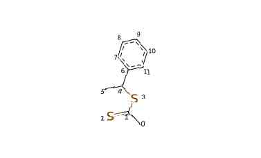 CC(=S)SC(C)c1ccccc1